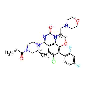 C=CC(=O)N1CCN(c2nc(=O)n3c4c(c(-c5ccc(F)cc5F)c(Cl)cc24)OC[C@@H]3CN2CCOCC2)[C@@H](C)C1